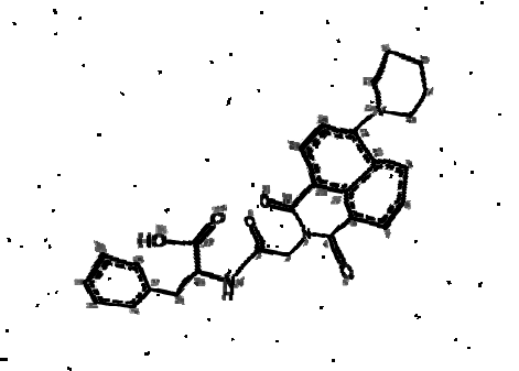 O=C(CN1C(=O)c2cccc3c(N4CCCCC4)ccc(c23)C1=O)NC(Cc1ccccc1)C(=O)O